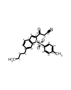 CCCCc1ccc2cc(C(=O)CC#N)n(S(=O)(=O)c3ccc(C)cc3)c2c1